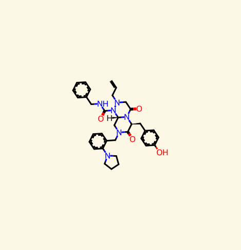 C=CCN1CC(=O)N2[C@@H](Cc3ccc(O)cc3)C(=O)N(Cc3ccccc3N3CCCC3)C[C@@H]2N1C(=O)NCc1ccccc1